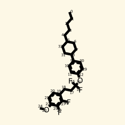 CCCCCC1CCC(c2ccc(OC(F)(F)CCc3ccc(OC)c(F)c3F)cc2)CC1